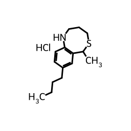 CCCCc1ccc2c(c1)C(C)SCCCN2.Cl